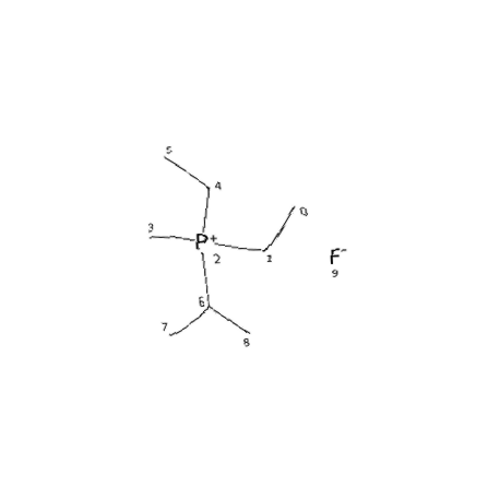 CC[P+](C)(CC)C(C)C.[F-]